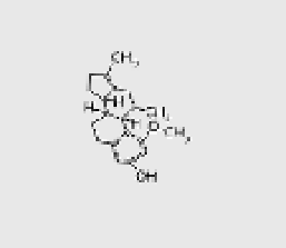 COc1cc(O)cc2c1[C@@H]1[C@H](CC2)[C@@H]2CCC(C)=C2C[C@H]1C